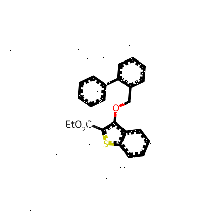 CCOC(=O)c1sc2ccccc2c1OCc1ccccc1-c1ccccc1